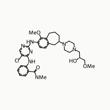 CNC(=O)c1ccccc1Nc1nc(Nc2ccc3c(c2OC)CCCC(N2CCN(C[C@H](O)COC)CC2)C3)ncc1Cl